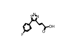 O=C(O)C=Cc1nnsc1-c1ccc(F)cc1